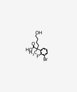 CC(CCCCO)(C(=O)O)c1cccc(Br)c1F